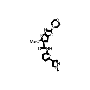 COc1nc2nc(N3CCOCC3)oc2cc1C(=O)Nc1cccc(-c2cnn(C)c2)n1